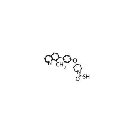 Cc1c(-c2ccc(OC3CCN(C(=O)S)CC3)cc2)ccc2cccnc12